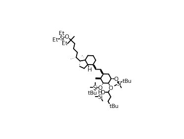 C=C1/C(=C\C=C2/CCC[C@]3(C)[C@@H]([C@H](C)CCCC(C)(C)O[Si](CC)(CC)CC)CC[C@@H]23)C[C@@H](O[Si](C)(C)C(C)(C)C)[C@@H](OC(CCC(C)(C)C)O[SiH](C)C)[C@@H]1O[Si](C)(C)C(C)(C)C